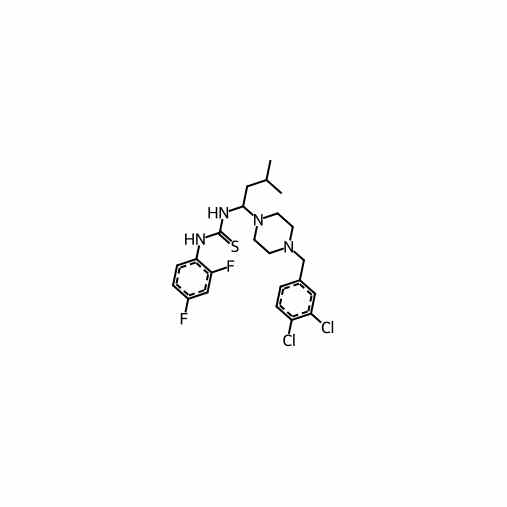 CC(C)CC(NC(=S)Nc1ccc(F)cc1F)N1CCN(Cc2ccc(Cl)c(Cl)c2)CC1